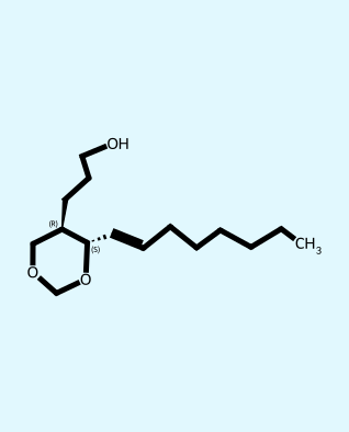 CCCCCCC=C[C@@H]1OCOC[C@H]1CCCO